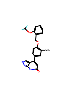 COc1cc(-c2cc(=O)[nH]c3n[nH]cc23)ccc1OCc1ccccc1OC(F)F